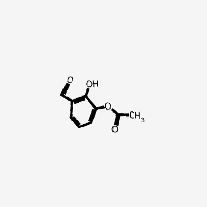 CC(=O)Oc1cccc(C=O)c1O